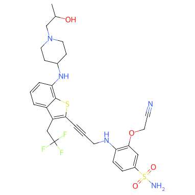 CC(O)CN1CCC(Nc2cccc3c(CC(F)(F)F)c(C#CCNc4ccc(S(N)(=O)=O)cc4OCC#N)sc23)CC1